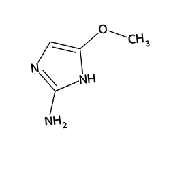 COc1cnc(N)[nH]1